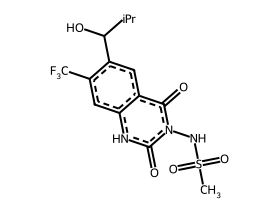 CC(C)C(O)c1cc2c(=O)n(NS(C)(=O)=O)c(=O)[nH]c2cc1C(F)(F)F